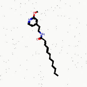 CCCCCCC/C=C/C=C/C(=O)NCCc1ccnc(OC)c1